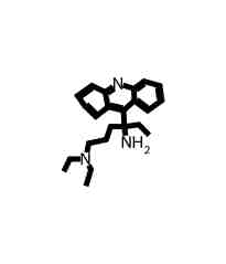 CCN(CC)CCCC(N)(CC)c1c2ccccc2nc2ccccc12